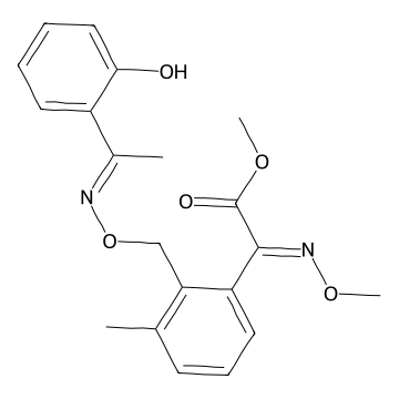 CO/N=C(/C(=O)OC)c1cccc(C)c1CO/N=C(\C)c1ccccc1O